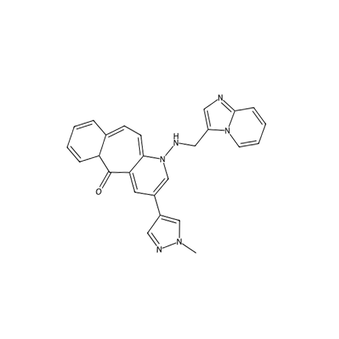 Cn1cc(C2=CN(NCc3cnc4ccccn34)C3=CC=C4C=CC=CC4C(=O)C3=C2)cn1